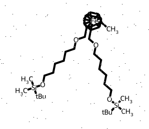 CC(C)(C)[Si](C)(C)OCCCCCCOC[C]12[CH]3[CH]4[CH]5[CH]1[Fe]45321678[CH]2[CH]1[C]6(C)[C]7(COCCCCCCO[Si](C)(C)C(C)(C)C)[CH]28